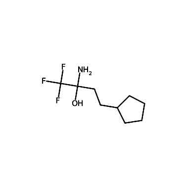 NC(O)(CCC1CCCC1)C(F)(F)F